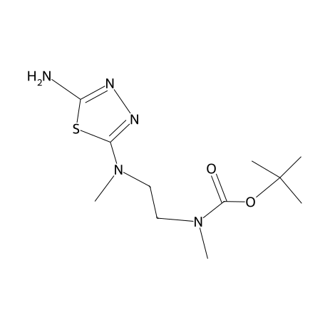 CN(CCN(C)c1nnc(N)s1)C(=O)OC(C)(C)C